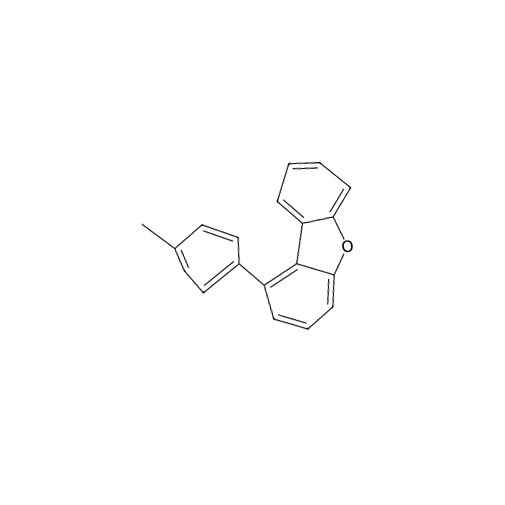 Cc1ccc(-c2cccc3oc4ccccc4c23)cc1